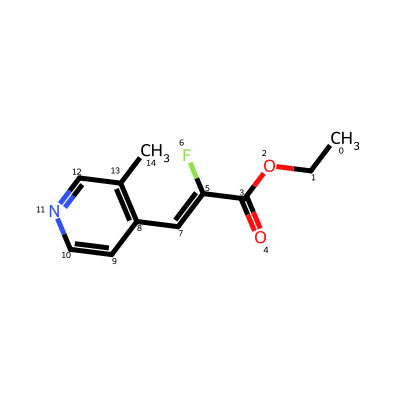 CCOC(=O)/C(F)=C/c1ccncc1C